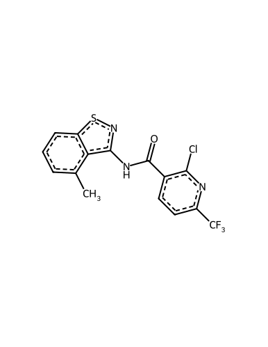 Cc1cccc2snc(NC(=O)c3ccc(C(F)(F)F)nc3Cl)c12